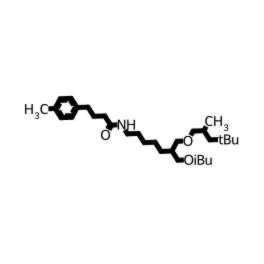 Cc1ccc(CCCC(=O)NCCCCCC(COCC(C)C)COCC(C)CC(C)(C)C)cc1